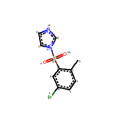 Cc1ccc(Br)cc1S(=O)(=O)n1ccnc1